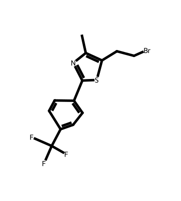 Cc1nc(-c2ccc(C(F)(F)F)cc2)sc1CCBr